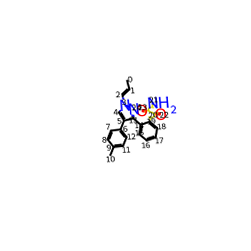 CC=Cn1cc(-c2ccc(C)cc2)c(-c2ccccc2S(N)(=O)=O)n1